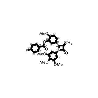 C=C1C(=O)N(c2cc(OC)c(OC)c(OC)c2)[C@H]1c1ccc(OC)c(OC(=O)c2ccc(F)cc2)c1